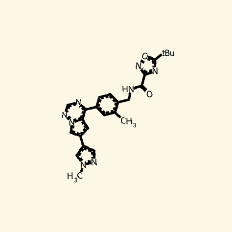 Cc1cc(-c2ncnn3cc(-c4cnn(C)c4)cc23)ccc1CNC(=O)c1noc(C(C)(C)C)n1